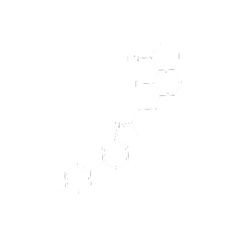 Cc1ccc(-c2ccc3sc(COc4ccc(F)c(C(N)=O)c4F)nc3c2)cc1